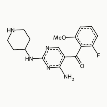 COc1cccc(F)c1C(=O)c1cnc(NC2CCNCC2)nc1N